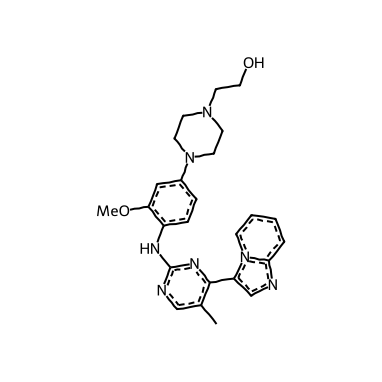 COc1cc(N2CCN(CCO)CC2)ccc1Nc1ncc(C)c(-c2cnc3ccccn23)n1